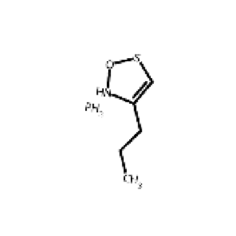 CCCC1=CSON1.P